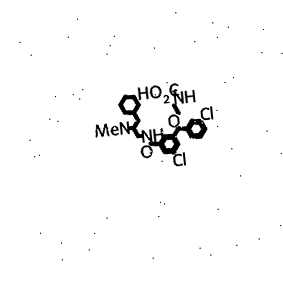 CNC(CNC(=O)c1cc(Cl)cc(C(OCCNC(=O)O)c2cccc(Cl)c2)c1)CC1CCCCC1